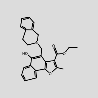 CCOC(=O)c1c(C)oc2c1c(CN1CCc3ccccc3C1)c(O)c1ccccc12